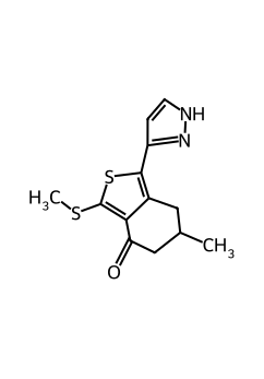 CSc1sc(-c2cc[nH]n2)c2c1C(=O)CC(C)C2